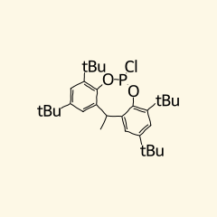 CC1c2cc(C(C)(C)C)cc(C(C)(C)C)c2OP(Cl)Oc2c1cc(C(C)(C)C)cc2C(C)(C)C